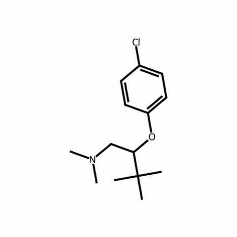 CN(C)CC(Oc1ccc(Cl)cc1)C(C)(C)C